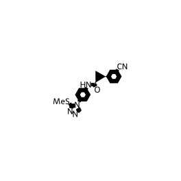 CSc1nncn1-c1ccc(NC(=O)[C@@H]2C[C@@H]2c2cccc(C#N)c2)cc1